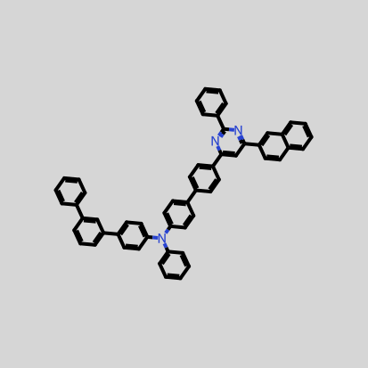 c1ccc(-c2cccc(-c3ccc(N(c4ccccc4)c4ccc(-c5ccc(-c6cc(-c7ccc8ccccc8c7)nc(-c7ccccc7)n6)cc5)cc4)cc3)c2)cc1